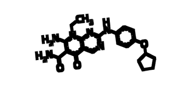 CCn1c(N)c(C(N)=O)c(=O)c2cnc(Nc3ccc(OC4CCCC4)cc3)nc21